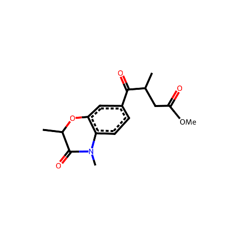 COC(=O)CC(C)C(=O)c1ccc2c(c1)OC(C)C(=O)N2C